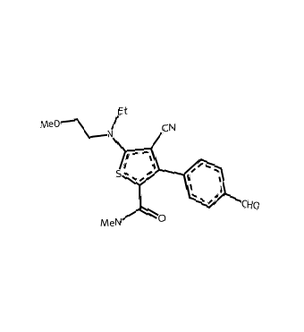 CCN(CCOC)c1sc(C(=O)NC)c(-c2ccc(C=O)cc2)c1C#N